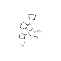 CCC1CCCN1c1cc(=O)n(C)nc1-c1ccccc1Oc1ccccc1